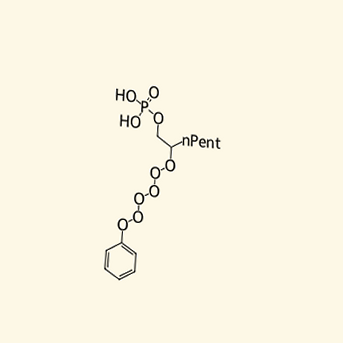 CCCCCC(COP(=O)(O)O)OOOOOOc1ccccc1